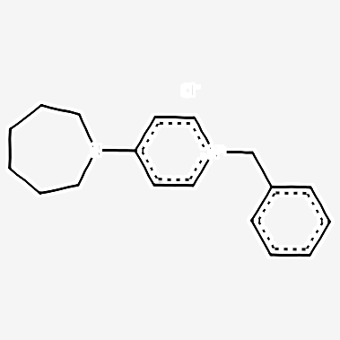 [Cl-].c1ccc(C[n+]2ccc(N3CCCCCC3)cc2)cc1